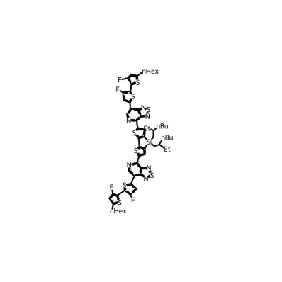 CCCCCCc1cc(F)c(-c2sc(-c3cnc(-c4cc5c(s4)-c4sc(-c6ncc(-c7cc(F)c(-c8sc(CCCCCC)cc8F)s7)c7nsnc67)cc4[Si]5(CC(CC)CCCC)CC(CC)CCCC)c4nsnc34)cc2F)s1